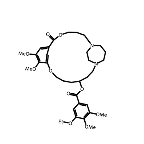 CCOc1cc(C(=O)OC2CCCOc3cc(cc(OC)c3OC)C(=O)OCCCN3CCCN(CC2)CC3)cc(OC)c1OC